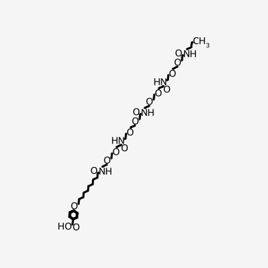 CCCCNC(=O)COCCOCCNC(=O)COCCOCCNC(=O)COCCOCCNC(=O)COCCOCCNC(=O)CCCCCCCCCOc1ccc(C(=O)O)cc1